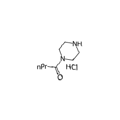 CCCC(=O)N1CCNCC1.Cl